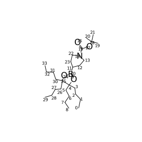 CCCCC1(CCCC)OB(C2CCN(C(=O)OC(C)(C)C)CC2)OC1(CCCC)CCCC